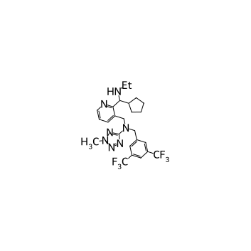 CCNC(c1ncccc1CN(Cc1cc(C(F)(F)F)cc(C(F)(F)F)c1)c1nnn(C)n1)C1CCCC1